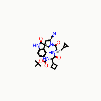 CC(C)(C)OC(=O)N[C@H](C(=O)N[C@@H](CC1CC1)C(=O)N1C[C@]2(C[C@H]1C#N)C(=O)Nc1ccccc12)C1CCC1